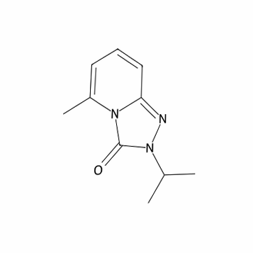 Cc1cccc2nn(C(C)C)c(=O)n12